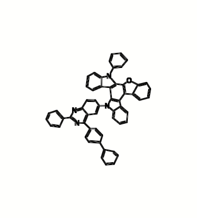 c1ccc(-c2ccc(-c3nc(-c4ccccc4)nc4ccc(-n5c6ccccc6c6c7c8ccccc8oc7c7c(c8ccccc8n7-c7ccccc7)c65)cc34)cc2)cc1